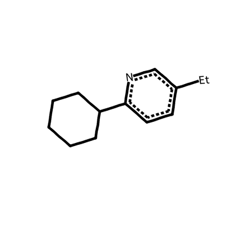 CCc1ccc(C2CCCCC2)nc1